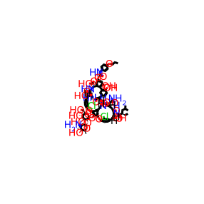 CCCOc1ccc(NC(=O)Oc2cc(O)c3c(c2)[C@@H](C(=O)O)NC(=O)[C@H]2NC(=O)[C@H](CC(=O)[C@@H]4NC(=O)[C@H](CC(N)=O)CC(=O)[C@H](NC(=O)[C@H](CC)CC(C)C)[C@H](O)c5ccc(c(Cl)c5)Oc5cc4cc(c5O[C@@H]4O[C@H](CO)[C@@H](O)[C@H](O)[C@H]4O[C@H]4C[C@](C)(N)[C@H](O)[C@H](C)O4)Oc4ccc(cc4Cl)[C@H]2O)c2ccc(O)c-3c2)cc1